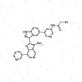 CC(C)CC(=O)Nc1cncc(-c2ccc3[nH]nc(-c4nc5c(-c6cccnc6)cncc5n4N)c3c2)c1